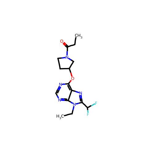 CCC(=O)N1CCC(Oc2ncnc3c2nc(C(F)F)n3CC)C1